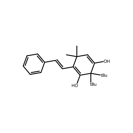 CC1(C)C=C(O)C(C(C)(C)C)(C(C)(C)C)C(O)=C1C=Cc1ccccc1